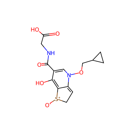 O=C(O)CNC(=O)C1=CN(OCC2CC2)C2=CC[S+]([O-])C2=C1O